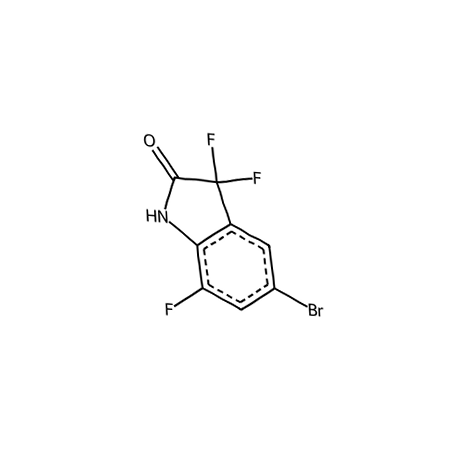 O=C1Nc2c(F)cc(Br)cc2C1(F)F